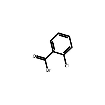 O=C(Br)c1ccccc1Cl